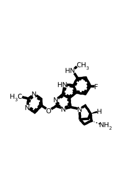 CNc1cc(F)cc2c1[nH]c1nc(Oc3cnc(C)nc3)nc(N3C[C@H]4CC3C[C@H]4N)c12